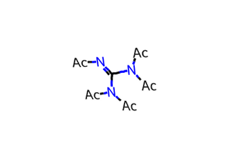 CC(=O)N=C(N(C(C)=O)C(C)=O)N(C(C)=O)C(C)=O